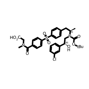 C[C@H](Cc1ccc(S(=O)(=O)c2ccc(C(=O)N(C)CC(=O)O)cc2)cc1)N(C[C@H](O)c1cccc(Cl)c1)C(=O)OC(C)(C)C